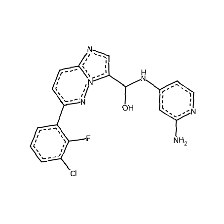 Nc1cc(NC(O)c2cnc3ccc(-c4cccc(Cl)c4F)nn23)ccn1